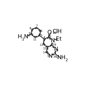 CCn1c(=O)c(-c2cccc(N)c2)cc2cnc(N)nc21.Cl